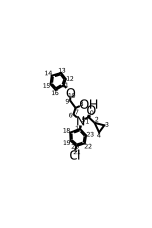 O=C(C1CC1)N(CC(O)COc1ccccc1)c1ccc(Cl)cc1